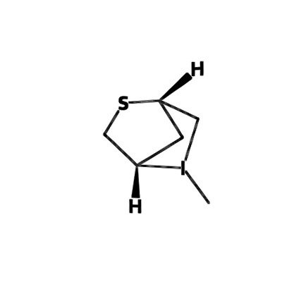 CI1C[C@@H]2C[C@H]1CS2